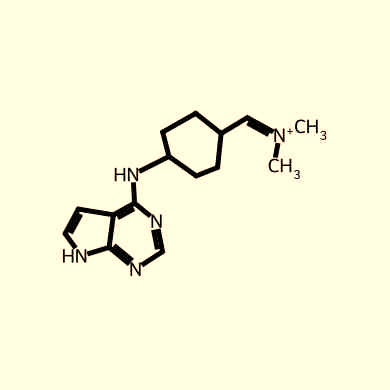 C[N+](C)=CC1CCC(Nc2ncnc3[nH]ccc23)CC1